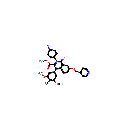 COC(=O)c1c(-c2cc(OC)c(C)c(OC)c2)c2ccc(OCc3ccncc3)cc2c(=O)n1-c1ccc(N)cc1